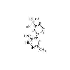 CC1=NNC(=N)N(c2cccc(C(F)(F)F)c2)C1